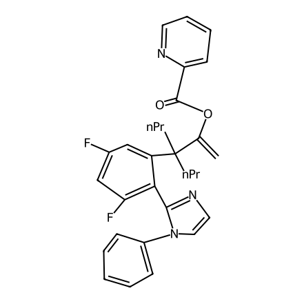 C=C(OC(=O)c1ccccn1)C(CCC)(CCC)c1cc(F)cc(F)c1-c1nccn1-c1ccccc1